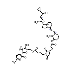 C=C1/C(=C\C=C2/CCC[C@@]3(C)C2CCC3C(C)/C=C/C(O)C2CC2)CCC[C@@H]1OC(=O)CSC1CC(=O)N(CCCC(=O)OCC2OC(n3ccc(N)nc3=O)C(F)(F)C2O)C1=O